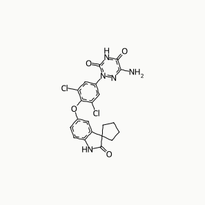 Nc1nn(-c2cc(Cl)c(Oc3ccc4c(c3)C3(CCCC3)C(=O)N4)c(Cl)c2)c(=O)[nH]c1=O